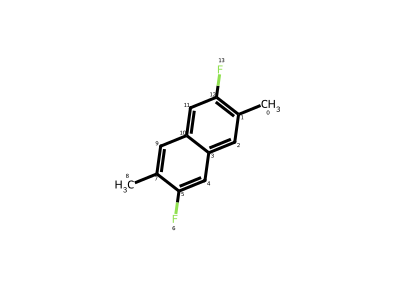 Cc1cc2cc(F)c(C)cc2cc1F